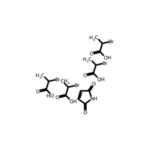 CC(Br)C(=O)O.CC(Br)C(=O)O.CC(Br)C(=O)O.CC(Br)C(=O)O.O=C1C=CC(=O)N1